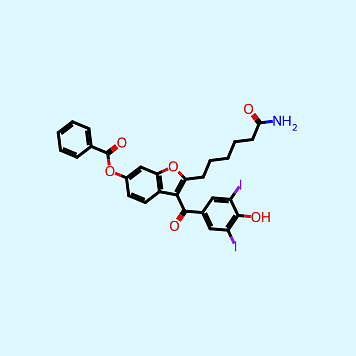 NC(=O)CCCCCc1oc2cc(OC(=O)c3ccccc3)ccc2c1C(=O)c1cc(I)c(O)c(I)c1